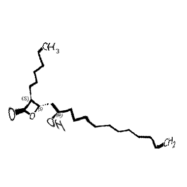 C=CCCCCCCCCC[C@@H](O)C[C@@H]1OC(=O)[C@H]1CCCCCC